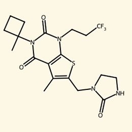 Cc1c(CN2CCNC2=O)sc2c1c(=O)n(C1(C)CCC1)c(=O)n2CCC(F)(F)F